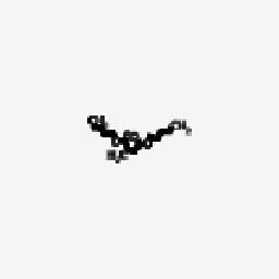 C=CCCCOC(=O)CC(=C)C(=O)OCCCC=C